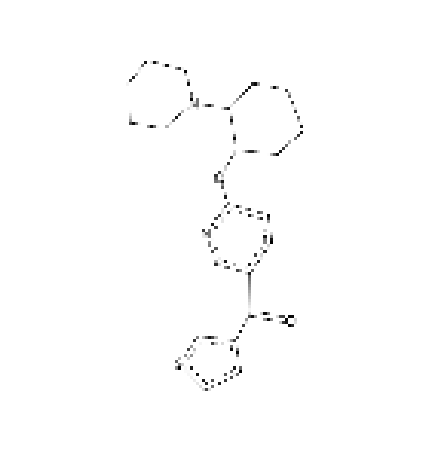 O=C(c1ccc(OC2CCCCC2N2CCCCC2)nc1)c1ccsc1